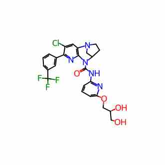 O=C(Nc1cccc(OC[C@@H](O)CO)n1)N1c2nc(-c3cccc(C(F)(F)F)c3)c(Cl)cc2N2CCC1C2